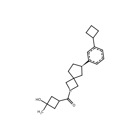 CC1(O)CC(C(=O)N2CC3(CC[C@@H](c4cccc(C5CCC5)c4)C3)C2)C1